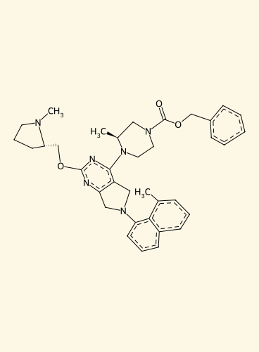 Cc1cccc2cccc(N3Cc4nc(OC[C@@H]5CCCN5C)nc(N5CCN(C(=O)OCc6ccccc6)C[C@@H]5C)c4C3)c12